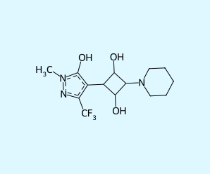 Cn1nc(C(F)(F)F)c(C2C(O)C(N3CCCCC3)C2O)c1O